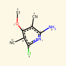 CCOc1c(C#N)c(N)nc(Cl)c1C#N